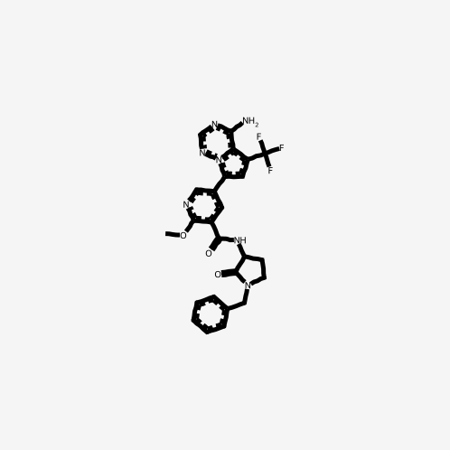 COc1ncc(-c2cc(C(F)(F)F)c3c(N)ncnn23)cc1C(=O)NC1CCN(Cc2ccccc2)C1=O